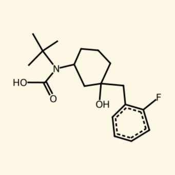 CC(C)(C)N(C(=O)O)C1CCCC(O)(Cc2ccccc2F)C1